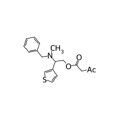 CC(=O)CC(=O)OCC(c1ccsc1)N(C)Cc1ccccc1